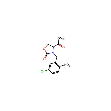 COC(=O)C1COC(=O)N1Cc1cc(Cl)ccc1[N+](=O)[O-]